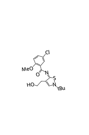 COc1ccc(Cl)cc1C(=O)N=c1sn(C(C)(C)C)cc1CCO